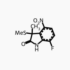 CSC1(C)C(=O)Nc2c(F)ccc([N+](=O)[O-])c21